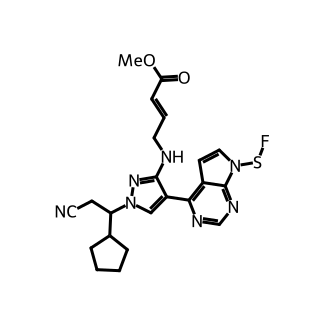 COC(=O)/C=C/CNc1nn(C(CC#N)C2CCCC2)cc1-c1ncnc2c1ccn2SF